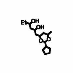 CCC(O)CC(O)CC1CC(C)OC(C2CCCC2)O1